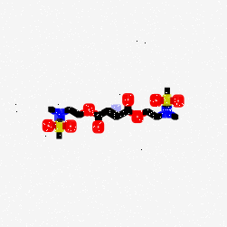 CN(CCOC(=O)/C=C/C(=O)OCCN(C)S(C)(=O)=O)S(C)(=O)=O